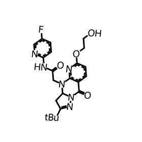 CC(C)(C)C1=NN2C(=O)c3ccc(OCCO)nc3N(CC(=O)Nc3ccc(F)cn3)C2C1